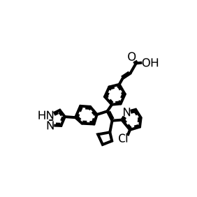 O=C(O)C=Cc1ccc(C(=C(c2ncccc2Cl)C2CCC2)c2ccc(-c3cn[nH]c3)cc2)cc1